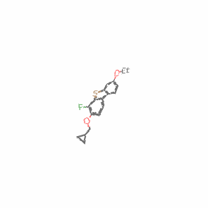 CCOc1ccc2c(c1)sc1c(F)c(OCC3CC3)ccc12